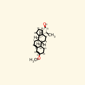 CC[C@]12CC[C@H]3[C@@H](CC=C4C=C(OC)CC[C@@H]43)[C@@H]1CC[C@@H]2C=O